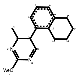 COC1=NC(C)C(c2cccc3c2CCCC3)C=N1